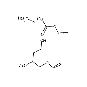 C=COC(=O)C(C)(C)C.C=COCC(CCO)OC(C)=O.CC(=O)O